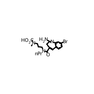 CCCN(CCCN(C)C(=O)O)C(=O)C1=Cc2ccc(Br)cc2N=C(N)C1